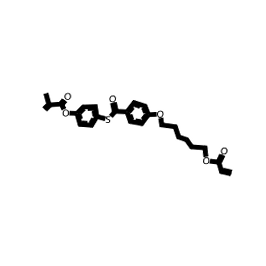 C=CC(=O)OCCCCCCOc1ccc(C(=O)Sc2ccc(OC(=O)C(=C)C)cc2)cc1